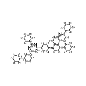 c1ccc(-c2cccc(-c3cc(-c4ccc(-c5cccc6c5ccc5nc(-c7ccccc7)cc(-c7ccccc7)c56)cc4)nc(-c4ccccc4)n3)c2)cc1